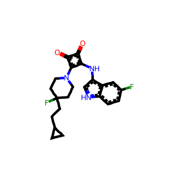 O=c1c(Nc2c[nH]c3ccc(F)cc23)c(N2CCC(F)(CCC3CC3)CC2)c1=O